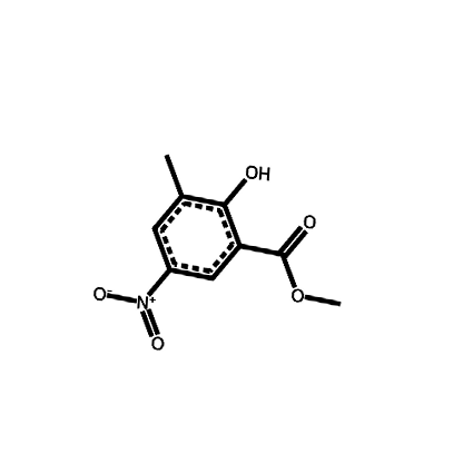 COC(=O)c1cc([N+](=O)[O-])cc(C)c1O